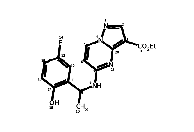 CCOC(=O)c1cnn2ccc(NC(C)c3cc(F)ccc3O)nc12